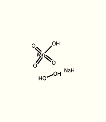 OO.[NaH].[O]=[Mn](=[O])(=[O])[OH]